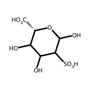 O=C(O)[C@@H]1OC(O)C(S(=O)(=O)O)C(O)C1O